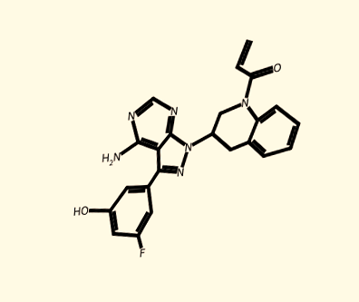 C=CC(=O)N1CC(n2nc(-c3cc(O)cc(F)c3)c3c(N)ncnc32)Cc2ccccc21